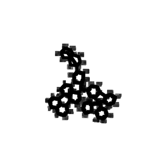 c1ccc(-c2cccc3cccc(-c4ccc(N(c5ccc(C67CCC8CCC(CC8C6)C7)cc5)c5ccc6c(c5)[Si](c5ccccc5)(c5ccccc5)c5ccccc5-6)cc4)c23)cc1